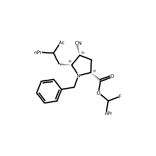 CCCC(F)OC(=O)[C@H]1C[C@@H](C#N)[C@@H](CC(CCC)C(C)=O)N1Cc1ccccc1